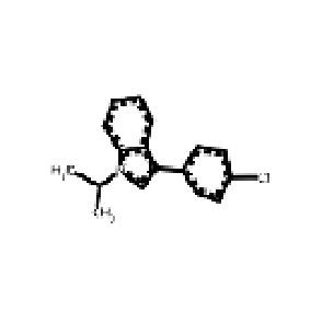 CC(C)n1cc(-c2ccc(Cl)cc2)c2ccccc21